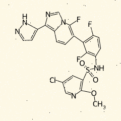 COc1ncc(Cl)cc1S(=O)(=O)Nc1ccc(F)c(-c2ccc3c(-c4ccn[nH]4)ncn3c2F)c1F